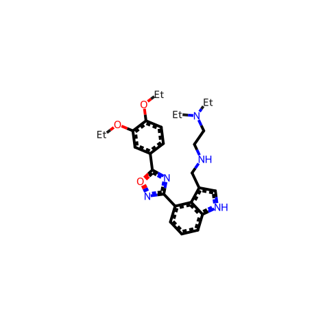 CCOc1ccc(-c2nc(-c3cccc4[nH]cc(CNCCN(CC)CC)c34)no2)cc1OCC